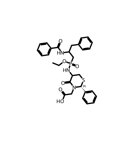 CCOP(=O)(CC(Cc1ccccc1)NC(=O)c1ccccc1)NC1CS[C@H](c2ccccc2)N(CC(=O)O)C1=O